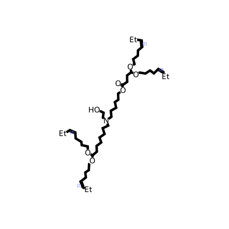 CC/C=C\CCCCOC(CCCCCCCN(CCO)CCCCCCOC(=O)CCC(OCCCC/C=C\CC)OCCCC/C=C\CC)OCCCC/C=C\CC